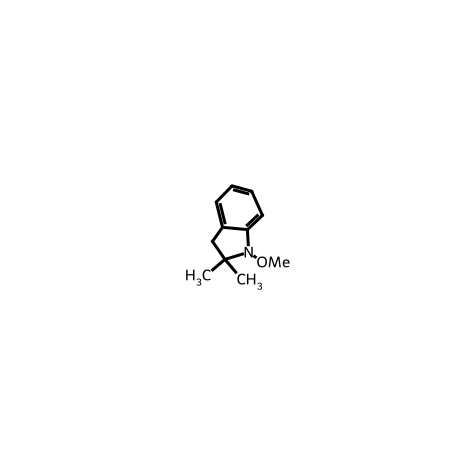 CON1c2ccccc2CC1(C)C